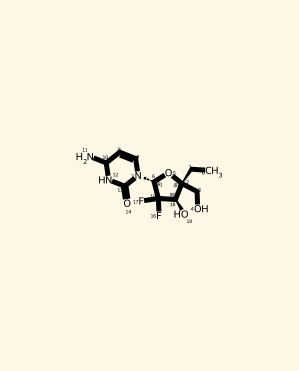 CC[C@]1(CO)O[C@@H](N2C=CC(N)NC2=O)C(F)(F)[C@@H]1O